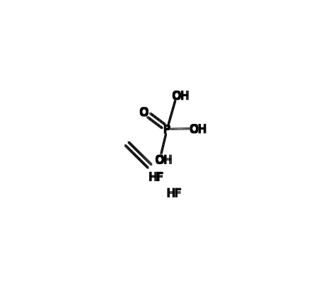 C=C.F.F.O=P(O)(O)O